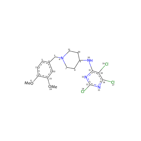 COc1ccc(CN2CCC(Nc3nc(Cl)nc(Cl)c3Cl)CC2)cc1OC